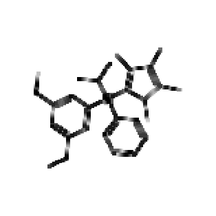 CCc1cc(CC)cc([Si](C2=C(C)C(C)=C(C)C2C)(c2ccccc2)C(C)C)c1